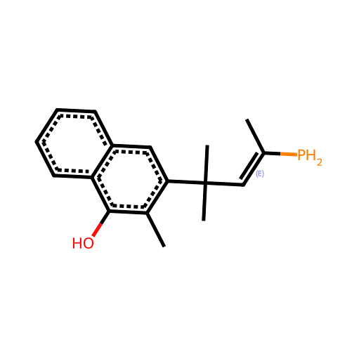 C/C(P)=C\C(C)(C)c1cc2ccccc2c(O)c1C